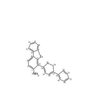 Nc1ccc2c(sc3ccccc32)c1C1=CC=C(c2ccccc2)CC1